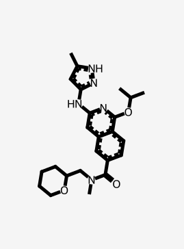 Cc1cc(Nc2cc3cc(C(=O)N(C)CC4CCCCO4)ccc3c(OC(C)C)n2)n[nH]1